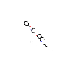 C=CCCN1CCc2ccc(OCCc3nc(-c4ccccc4)oc3C)cc2C1C(=O)O